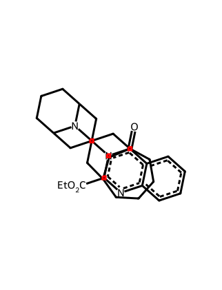 CCOC(=O)c1nc2ccccc2c(=O)n1C1CC2CCCC(C1)N2C1CC2CCCCC(C2)C1